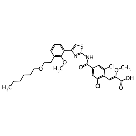 CCCCCCOCCc1cccc(-c2csc(NC(=O)c3cc(Cl)c(C=C(OC)C(=O)O)c(Cl)c3)n2)c1OC